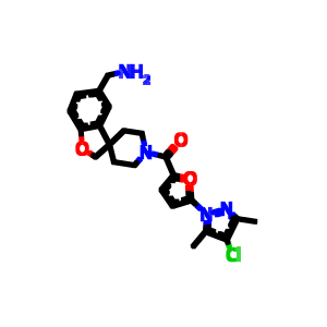 Cc1nn(-c2ccc(C(=O)N3CCC4(CC3)COc3ccc(CN)cc34)o2)c(C)c1Cl